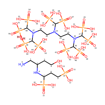 NCC(CCO)NC(CCP(=O)(O)O)P(=O)(O)O.O=P(O)(O)C(N(CCN(C(P(=O)(O)O)P(=O)(O)O)C(P(=O)(O)O)P(=O)(O)O)CCN(C(P(=O)(O)O)P(=O)(O)O)C(P(=O)(O)O)P(=O)(O)O)P(=O)(O)O